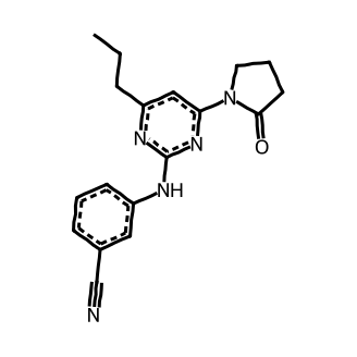 CCCc1cc(N2CCCC2=O)nc(Nc2cccc(C#N)c2)n1